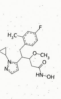 COC(CC(=O)NO)C(Cc1ccc(F)cc1C)c1ccnn1C1CC1